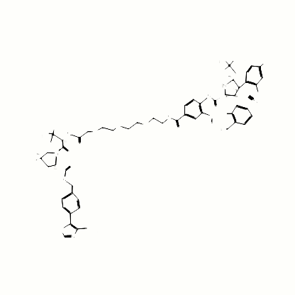 COc1cc(C(=O)NCCOCCOCCOCC(=O)N[C@H](C(=O)N2C[C@H](O)C[C@H]2C(=O)NCc2ccc(-c3scnc3C)cc2)C(C)(C)C)ccc1NC(=O)[C@H]1N[C@H](CC(C)(C)C)[C@@](C#N)(c2ccc(Cl)cc2F)[C@@H]1c1cccc(Cl)c1F